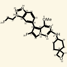 COc1nc(NC2CCC3(CC2)COC3)nn2cc(F)c(-c3ccc4nnn(CCF)c4c3)c12